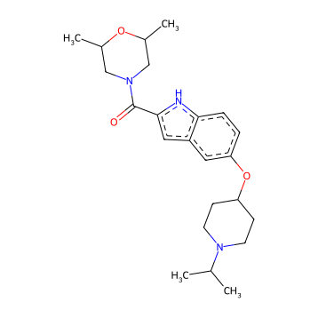 CC1CN(C(=O)c2cc3cc(OC4CCN(C(C)C)CC4)ccc3[nH]2)CC(C)O1